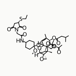 CCSC1CC(=O)N(CC(=O)NC2CCC(OC)(O[C@@H]3[C@@H](OC(C)=O)[C@]4(C)[C@@]5(COC(C)=O)C[C@H](OC(=O)CC(C)C)C(C)=C[C@H]5O[C@H]3[C@@]43CO3)CC2)C1=O